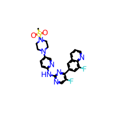 CS(=O)(=O)N1CCN(c2ccc(Nc3ncc(F)c(-c4cc(F)c5ncccc5c4)n3)nc2)CC1